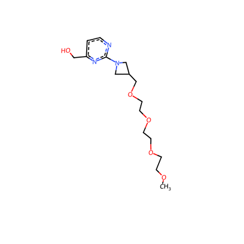 COCCOCCOCCOCC1CN(c2nccc(CO)n2)C1